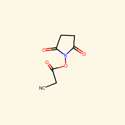 N#CCC(=O)ON1C(=O)CCC1=O